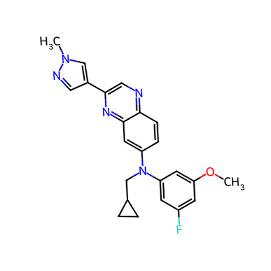 COc1cc(F)cc(N(CC2CC2)c2ccc3ncc(-c4cnn(C)c4)nc3c2)c1